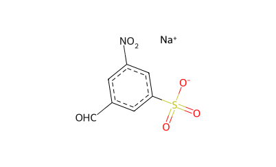 O=Cc1cc([N+](=O)[O-])cc(S(=O)(=O)[O-])c1.[Na+]